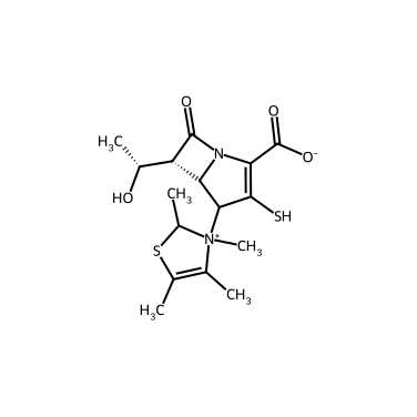 CC1=C(C)[N+](C)(C2C(S)=C(C(=O)[O-])N3C(=O)[C@@H]([C@@H](C)O)C23)C(C)S1